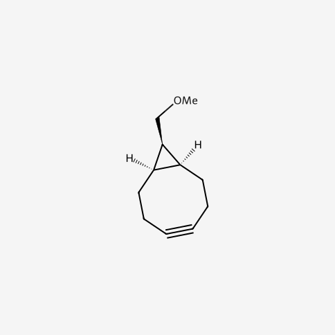 COC[C@@H]1[C@@H]2CCC#CCC[C@@H]21